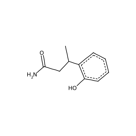 CC(CC(N)=O)c1ccccc1O